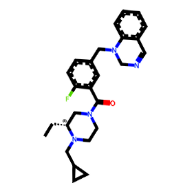 CC[C@@H]1CN(C(=O)c2cc(CN3CN=Cc4ccccc43)ccc2F)CCN1CC1CC1